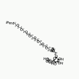 CCCC(C)CCOCCOCCOCCOCCOCCOCCOCCOCCn1cc(CCO[C@H]2O[C@H](CCP(=O)(O)O)[C@@H](O)[C@H](O)[C@@H]2O)nn1